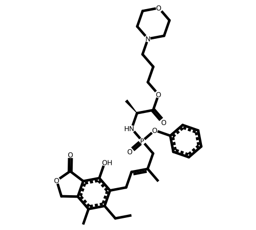 CCc1c(C)c2c(c(O)c1C/C=C(\C)CP(=O)(N[C@@H](C)C(=O)OCCCN1CCOCC1)Oc1ccccc1)C(=O)OC2